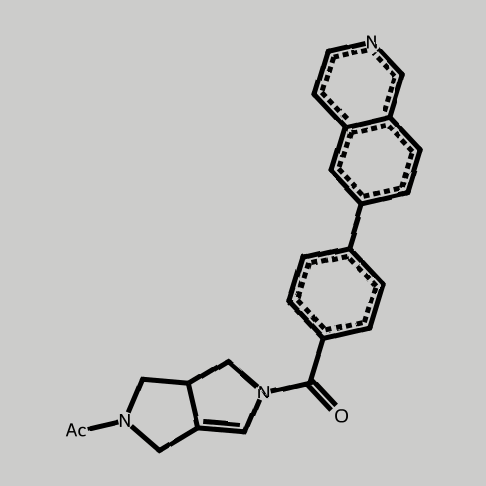 CC(=O)N1CC2=CN(C(=O)c3ccc(-c4ccc5cnccc5c4)cc3)CC2C1